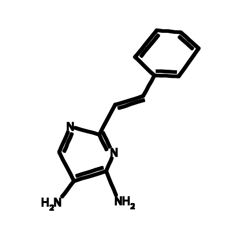 Nc1cnc(C=Cc2ccccc2)nc1N